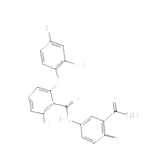 Cc1cc(F)ccc1Oc1cccc(C(F)(F)F)c1C(=O)Nc1ccc(F)c(C(N)=O)c1